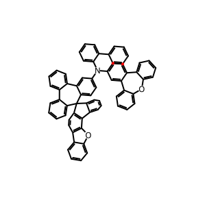 c1ccc(-c2ccccc2N(c2ccc3c(c2)-c2ccccc2Oc2ccccc2-3)c2ccc3c(c2)-c2ccccc2-c2ccccc2C32c3ccccc3-c3c2ccc2c3oc3ccccc32)cc1